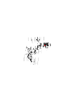 CCCCC(NC(=O)C(CCCNC(=N)N)NC(=O)C(Cc1ccccc1)NC(=O)C1CCCN1C(=O)C(C)NC)C(=O)NCC(=O)NC(C(=O)NC(CSCC(=O)OC(C)(C)C)C(=O)NC(C(=O)NC(CC)C(=O)NC(CC(N)=O)C(=O)O)C(C)O)C(C)CC